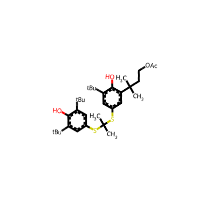 CC(=O)OCCC(C)(C)c1cc(SC(C)(C)Sc2cc(C(C)(C)C)c(O)c(C(C)(C)C)c2)cc(C(C)(C)C)c1O